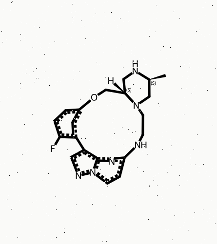 C[C@H]1CN2CCNc3ccn4ncc(c4n3)-c3cc(ccc3F)OC[C@@H]2CN1